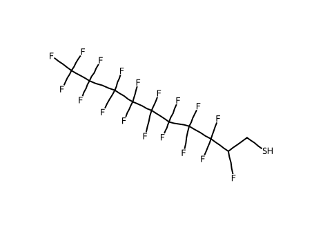 FC(CS)C(F)(F)C(F)(F)C(F)(F)C(F)(F)C(F)(F)C(F)(F)C(F)(F)C(F)(F)F